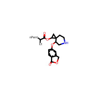 CCCCCC(CC)C(=O)OC1CC12CCNCC2Oc1ccc2c(c1)COC2=O